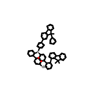 CC(C)(C)c1ccc(-c2ccccc2N(c2ccc(-c3ccc4c(c3)C(C)(c3ccccc3)c3ccccc3-4)cc2)c2ccc(-c3ccccc3-c3cccc4c3C(C)(C)c3ccccc3-4)cc2)cc1